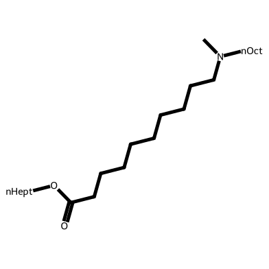 CCCCCCCCN(C)CCCCCCCCCC(=O)OCCCCCCC